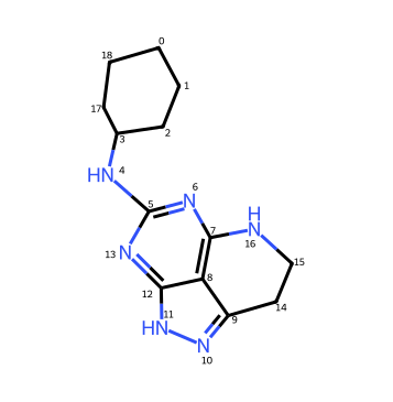 C1CCC(Nc2nc3c4c(n[nH]c4n2)CCN3)CC1